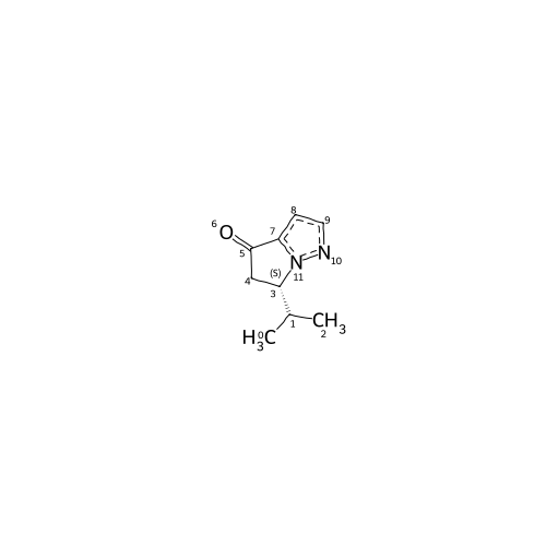 CC(C)[C@@H]1CC(=O)c2ccnn21